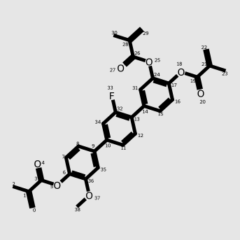 C=C(C)C(=O)Oc1ccc(-c2ccc(-c3ccc(OC(=O)C(=C)C)c(OC(=O)C(=C)C)c3)c(F)c2)cc1OC